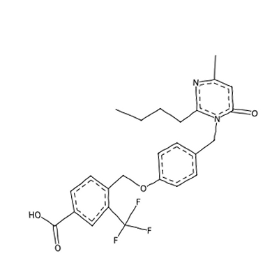 CCCCc1nc(C)cc(=O)n1Cc1ccc(OCc2ccc(C(=O)O)cc2C(F)(F)F)cc1